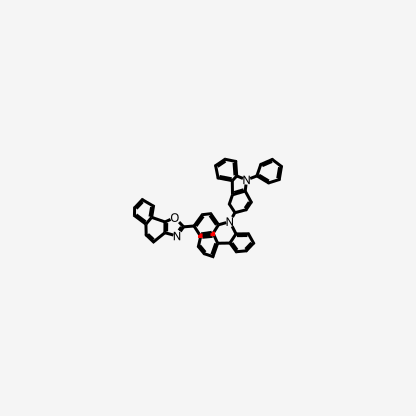 C1=CC(N(c2ccc(-c3nc4ccc5ccccc5c4o3)cc2)c2ccccc2-c2ccccc2)Cc2c1n(-c1ccccc1)c1ccccc21